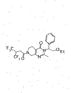 CCOCC(c1ccccc1)n1c(C)nc2c(c1=O)CCN(C(=O)CC(C(F)(F)F)C(F)(F)F)C2